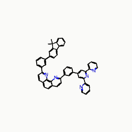 CC1(C)c2ccccc2-c2ccc(-c3cccc(-c4ccc5ccc6ccc(-c7cccc(-c8cc(-c9ccccn9)nc(-c9ccccn9)c8)c7)nc6c5n4)c3)cc21